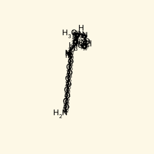 Cc1nc(Nc2ncc(C(=O)Nc3c(C)cccc3Cl)s2)cc(N2CCN(CCOCc3cn(CCOCCOCCOCCOCCOCCOCCOCCOCCOCCN)nn3)CC2)n1